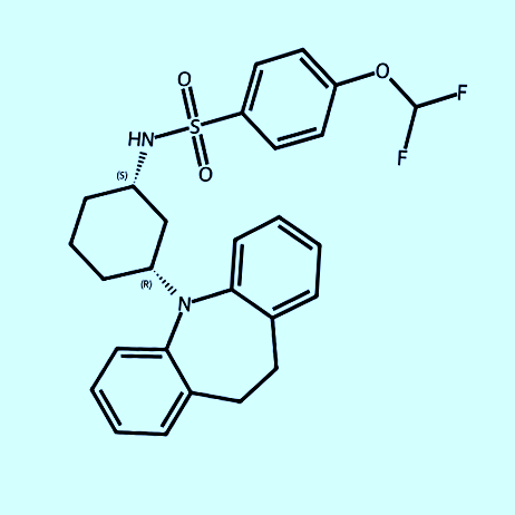 O=S(=O)(N[C@H]1CCC[C@@H](N2c3ccccc3CCc3ccccc32)C1)c1ccc(OC(F)F)cc1